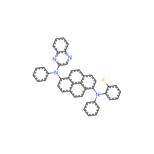 Fc1ccccc1N(c1ccccc1)c1ccc2ccc3c(N(c4ccccc4)c4cnc5ccccc5n4)ccc4ccc1c2c43